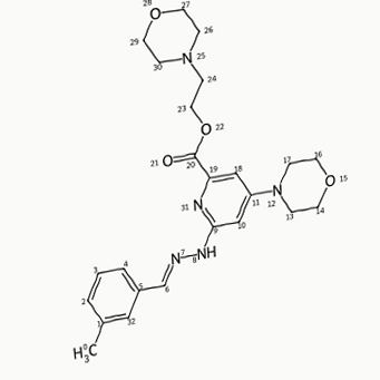 Cc1cccc(/C=N/Nc2cc(N3CCOCC3)cc(C(=O)OCCN3CCOCC3)n2)c1